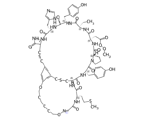 CC[C@@H]1NC(=O)[C@H](CC(=O)OOC)NC(=O)[C@@H]2CCCN2C(=O)[C@H](Cc2ccc(O)cc2)NC(=O)[C@@H]2CSCc3cc(cc(c3)OCCCCCCO/N=C/C(=O)N[C@@H](CCSC)C(=O)N2)CSCC(C(N)=O)NC(=O)[C@H](Cc2cnc[nH]2)NC(=O)[C@H](Cc2ccc(O)cc2)NC1=O